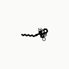 CCCCCCCCC#CC1=C[C@@H]2C[C@@]3(OC(=O)C=C13)[C@H]1CCCCN21